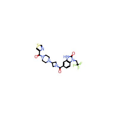 O=C(c1ccc2c(c1)[nH]c(=O)n2CC(F)(F)F)N1CC(N2CCN(C(=O)c3cscn3)CC2)C1